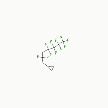 FC(F)(CC1CC1)CC(F)(F)C(F)(F)C(F)(F)C(F)(F)F